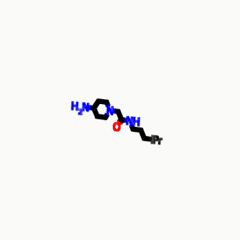 CC(C)CCCNC(=O)CN1CCC(N)CC1